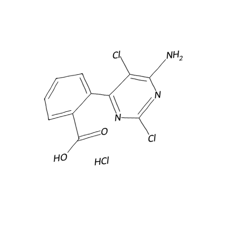 Cl.Nc1nc(Cl)nc(-c2ccccc2C(=O)O)c1Cl